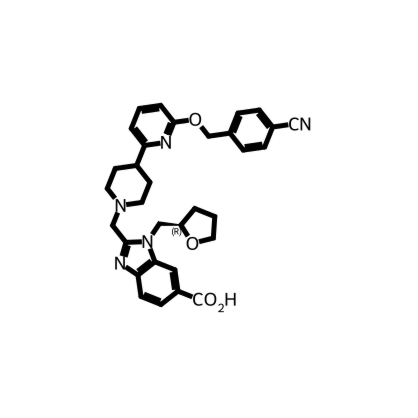 N#Cc1ccc(COc2cccc(C3CCN(Cc4nc5ccc(C(=O)O)cc5n4C[C@H]4CCCO4)CC3)n2)cc1